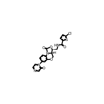 O=C(NC[C@@H]1OC(=O)N2c3ccc(-n4ccncc4=O)cc3OC[C@@H]12)c1ccc(Cl)s1